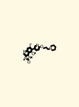 COc1c(-c2ccc(OCCCN3CCCCC3)nc2)c(F)cc2ncc3c(c12)n(C)c(=O)n3C